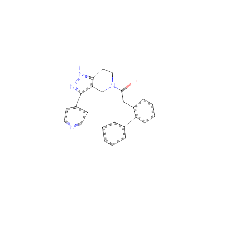 O=C(Cc1ccccc1-c1ccccc1)N1CCc2[nH]nc(-c3ccncc3)c2C1